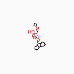 O=C(N[C@@H](CCOC1CCC1)C(=O)O)OCC1c2ccccc2-c2ccccc21